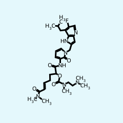 CC(C)Cc1c(F)cnc2cc(Cn3cccc(NC(=O)C(CC/C=C/C(=O)N(C)C)OC(=O)N(C)CCN(C)C)c3=O)[nH]c12